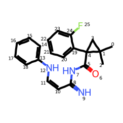 CC1(C)CC1(C(=O)NC(=N)/C=C\Nc1ccccc1)c1ccccc1F